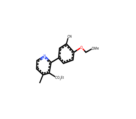 CCOC(=O)c1c(C)ccnc1-c1ccc(OCOC)c(C#N)c1